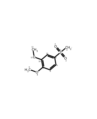 [CH2]S(=O)(=O)c1ccc(OC)c(OC)c1